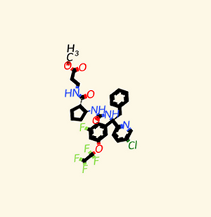 COC(=O)CCNC(=O)[C@H]1CCC[C@H]1NC(=O)N[C@@](Cc1ccccc1)(c1cc(F)cc(OC(F)(F)C(F)F)c1)c1ccc(Cl)cn1